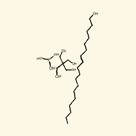 CCCCCCCCCCCCCCCCCCO.OCC(CO)(CO)CO.OP(O)O